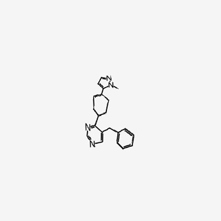 Cn1nccc1C1=CCC(c2ncncc2Cc2ccccc2)CC1